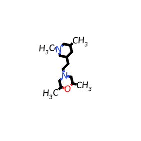 CC1CC(CCN2CC(C)OC(C)C2)CN(C)C1